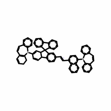 C1=CC2=C(CC1)N(C1=CC3C(C=C1)c1ccc(/C=C/c4ccc(N5c6ccccc6C=Cc6ccccc65)c5ccccc45)cc1C31c3ccccc3-c3ccccc31)c1ccccc1C=C2